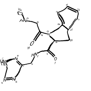 O=C(NCc1nn[nH]n1)[C@@H]1Cc2ccccc2N1C(=O)CNCl